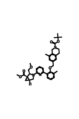 COC[C@H]1N(c2cccc(-c3cccc(C)c3OCc3cc(C)c4c(c3)CCN(C(=O)OC(C)(C)C)C4)n2)C[C@@H]2C[C@@]21C(=O)OC